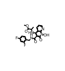 COC(=O)C(C)Nc1c(C(=O)NCc2ccc(F)cc2F)c(=O)n(O)c2ncccc12